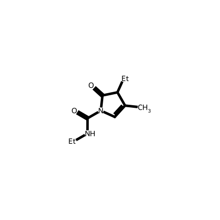 [CH2]CNC(=O)N1C=C(C)C(CC)C1=O